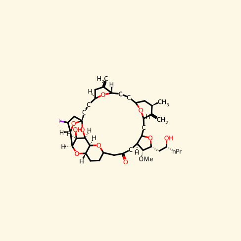 C=C1C[C@@H]2CC[C@]34CC(I)[C@H](O3)[C@@H]3O[C@H]5CCC(CC(=O)C[C@H]6C(C[C@H]7OC(CC[C@@H]1O2)C[C@@H](C)C7=C)O[C@H](C[C@H](O)CCC)[C@@H]6OC)O[C@@H]5[C@H](O4)[C@@H]3O